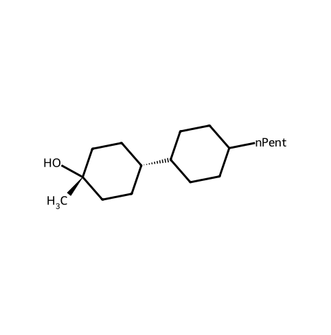 CCCCCC1CCC([C@H]2CC[C@@](C)(O)CC2)CC1